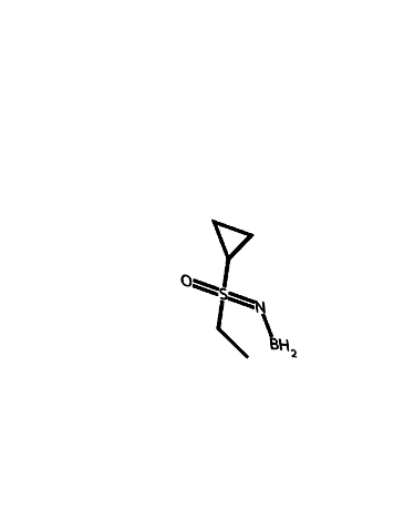 BN=S(=O)(CC)C1CC1